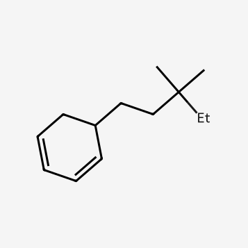 CCC(C)(C)CCC1C=CC=CC1